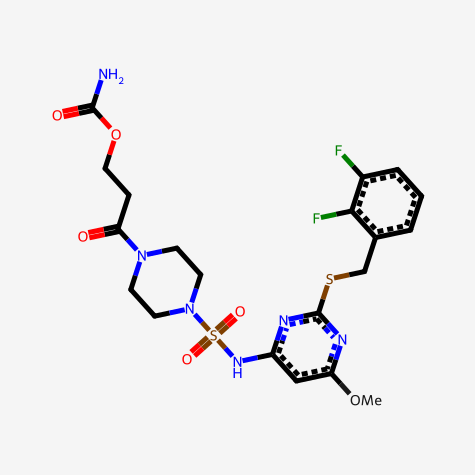 COc1cc(NS(=O)(=O)N2CCN(C(=O)CCOC(N)=O)CC2)nc(SCc2cccc(F)c2F)n1